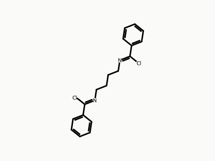 Cl/C(=N\CCCC/N=C(\Cl)c1ccccc1)c1ccccc1